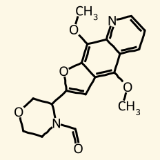 COc1c2cccnc2c(OC)c2oc(C3COCCN3C=O)cc12